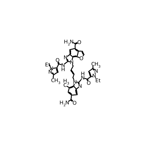 CCn1nc(C)cc1C(=O)Nc1nc2cc(C(N)=O)cc(C)c2n1CC=CCn1c(NC(=O)c2cc(C)nn2CC)nc2cc(C(N)=O)c3ccoc3c21